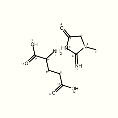 CN1CC(=O)NC1=N.NC(CCC(=O)O)C(=O)O